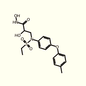 CCS(=O)(=O)N(CC(O)C(=O)NO)c1ccc(Oc2ccc(C)cc2)cc1